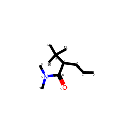 CCCC(C(=O)N(C)C)C(C)(C)C